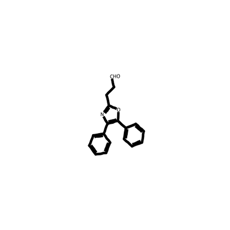 O=CCCc1nc(-c2ccccc2)c(-c2ccccc2)o1